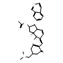 CC(=O)OC1C[C@H]2[C@@H]3OC4=C(C=C3C=C[C@]2(C)[C@H]1c1ccc2ccncc2c1)C(=O)CC(CN(C)C)C4